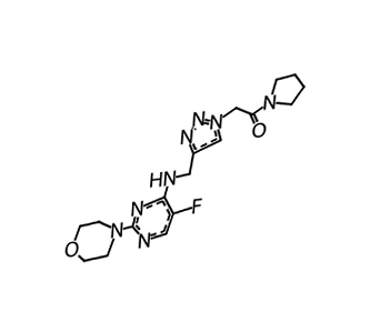 O=C(Cn1cc(CNc2nc(N3CCOCC3)ncc2F)nn1)N1CCCC1